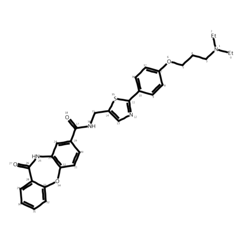 CCN(CC)CCCOc1ccc(-c2ncc(CNC(=O)c3ccc4c(c3)NC(=O)c3ccccc3O4)s2)cc1